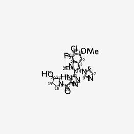 COc1cc2c(-n3ccnc3)c(-c3nnc(C(=O)N4CCC(O)C4)[nH]3)n(C)c2c(F)c1Cl